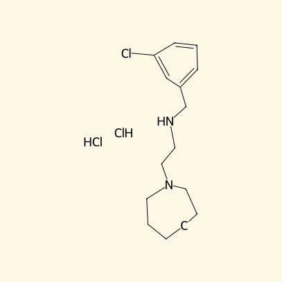 Cl.Cl.Clc1cccc(CNCCN2CCCCCC2)c1